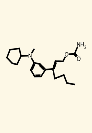 CCCCC(=CCOC(N)=O)c1cccc(N(C)C2CCCCC2)c1